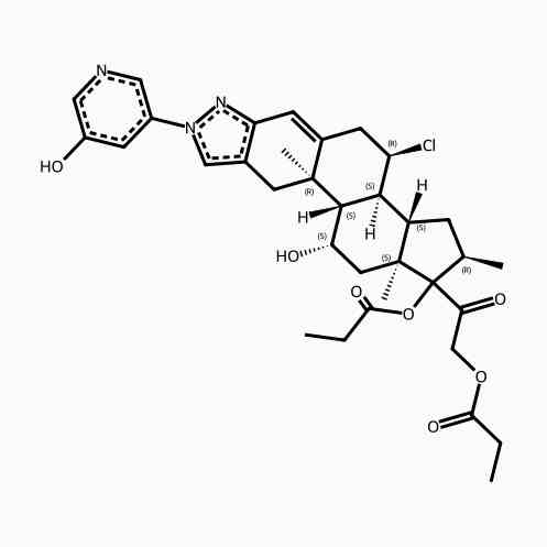 CCC(=O)OCC(=O)C1(OC(=O)CC)[C@H](C)C[C@H]2[C@H]3[C@H]([C@@H](O)C[C@@]21C)[C@@]1(C)Cc2cn(-c4cncc(O)c4)nc2C=C1C[C@H]3Cl